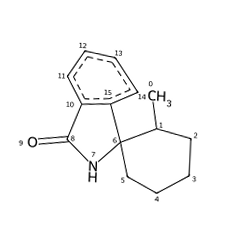 CC1CCCCC12NC(=O)c1ccccc12